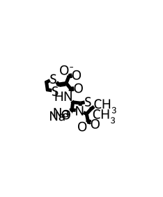 CC1(C)SC2C(NC(=O)C(C(=O)[O-])=C3SCCS3)C(=O)N2C1C(=O)[O-].[Na+].[Na+]